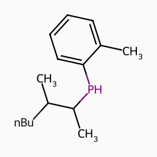 CCCCC(C)C(C)Pc1ccccc1C